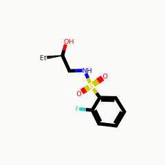 CC[C@@H](O)CNS(=O)(=O)c1ccccc1F